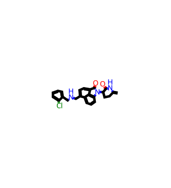 C=C1CCC(N2C(=O)c3ccc(CNCc4ccccc4Cl)c4cccc2c34)C(=O)N1